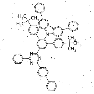 CC(C)(C)c1ccc(-c2cc(-c3nc(-c4ccccc4)nc(-c4ccc(-c5ccccc5)cc4)n3)cc(-c3ccc(C(C)(C)C)cc3)c2-n2c3ccc(-c4ccccc4)cc3c3cc(-c4ccccc4)ccc32)cc1